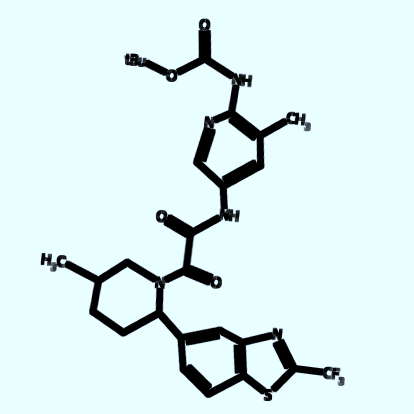 Cc1cc(NC(=O)C(=O)N2CC(C)CCC2c2ccc3sc(C(F)(F)F)nc3c2)cnc1NC(=O)OC(C)(C)C